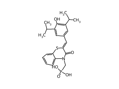 CC(C)c1cc(C=C2Sc3ccccc3N(CP(=O)(O)O)C2=O)cc(C(C)C)c1O